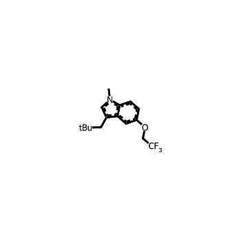 Cn1cc(CC(C)(C)C)c2cc(OCC(F)(F)F)ccc21